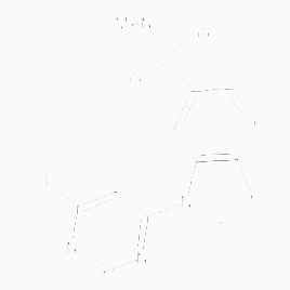 CNS(=O)(=O)c1ccc2c(c1)N(c1cc(Cl)ncn1)CC2